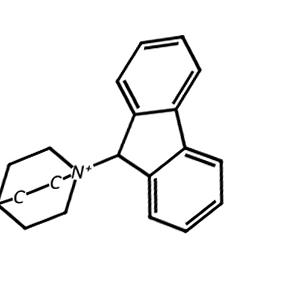 c1ccc2c(c1)-c1ccccc1C2[N+]12CCC(CC1)CC2